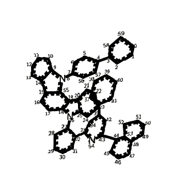 c1ccc(-c2ccc(-n3c4ccccc4c4ccc5c(c6ccccc6n5-c5ccccc5-c5cc(-c6ccccc6)cc(-c6cccc7ccccc67)n5)c43)cc2)cc1